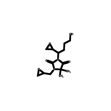 CC1(C)C(=O)N(C(CCCO)C2CO2)C(=O)N1CC1CO1